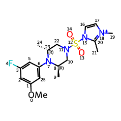 COc1cc(F)cc(N2[C@H](C)CN(S(=O)(=O)n3cc[n+](C)c3C)C[C@H]2C)c1